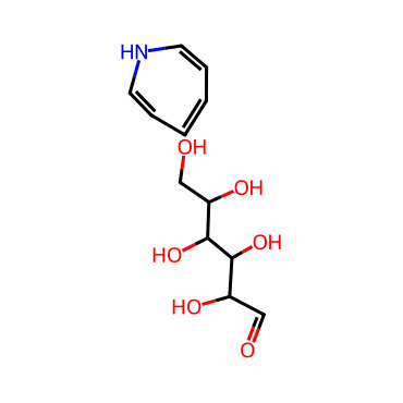 C1=CC=CNC=C1.O=CC(O)C(O)C(O)C(O)CO